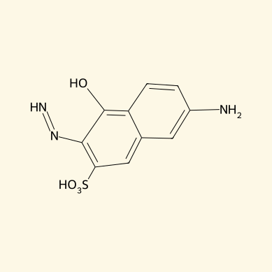 N=Nc1c(S(=O)(=O)O)cc2cc(N)ccc2c1O